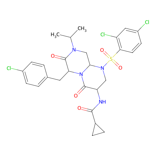 CC(C)N1CC2N(C(=O)C(NC(=O)C3CC3)CN2S(=O)(=O)c2ccc(Cl)cc2Cl)C(Cc2ccc(Cl)cc2)C1=O